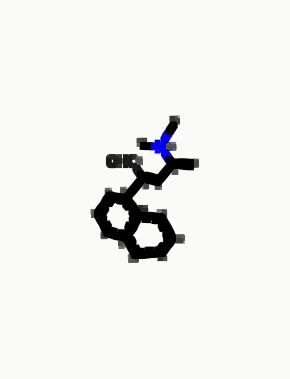 C=C(C=C(C=O)c1cccc2ccccc12)N(C)C